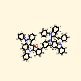 c1ccc(N2c3ccccc3B3c4oc5c(-c6ccc7c(c6)c6cc8c9ccccc9n9c8c8c6n7-c6c(c7ccccc7n6-c6ccccc6)B8c6ccccc6-9)cccc5c4-n4c5ccccc5c5ccc2c3c54)cc1